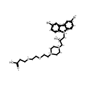 O=C(O)CCOCCOCCN1CCN(C[C@@H](O)Cn2c3ccc(Br)cc3c3cc(Br)ccc32)CC1